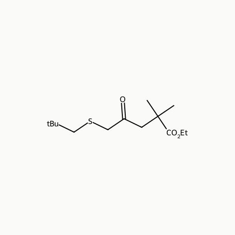 CCOC(=O)C(C)(C)CC(=O)CSCC(C)(C)C